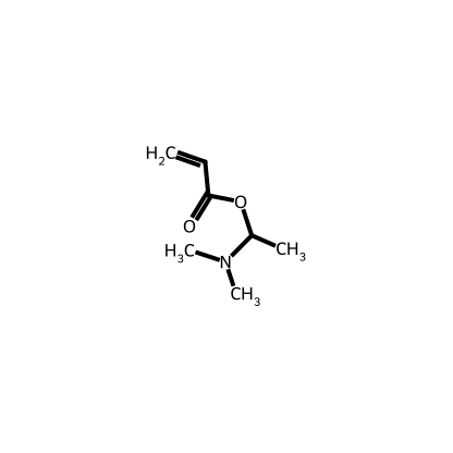 C=CC(=O)OC(C)N(C)C